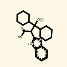 O=C(S)C(c1nc2ccccc2[nH]1)C(C(=O)O)(C1CCCCC1)C1CCCCC1